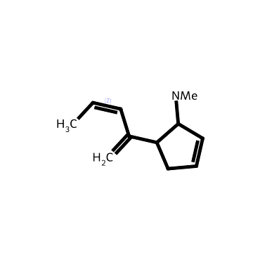 C=C(/C=C\C)C1CC=CC1NC